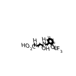 O=C(O)NCCC(O)NCc1ccccc1OC(F)(F)F